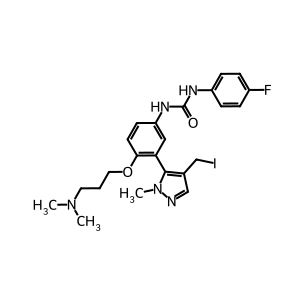 CN(C)CCCOc1ccc(NC(=O)Nc2ccc(F)cc2)cc1-c1c(CI)cnn1C